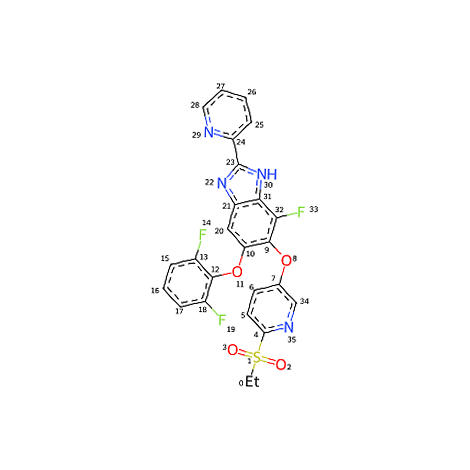 CCS(=O)(=O)c1ccc(Oc2c(Oc3c(F)cccc3F)cc3nc(-c4ccccn4)[nH]c3c2F)cn1